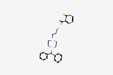 O=C(NCCCN1CCN(C(c2ccccc2)c2ccccc2)CC1)C1=CC=CCC1=S